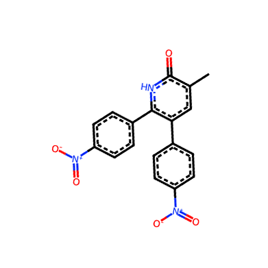 Cc1cc(-c2ccc([N+](=O)[O-])cc2)c(-c2ccc([N+](=O)[O-])cc2)[nH]c1=O